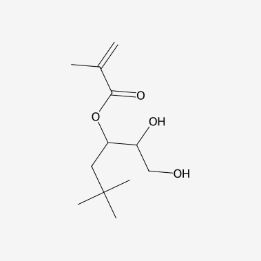 C=C(C)C(=O)OC(CC(C)(C)C)C(O)CO